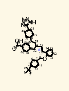 CC(C)(C)c1ccc(COc2ccccc2/C=C/C(CCc2ccc(-c3nnn[nH]3)cc2)Cc2ccc(C(=O)O)cc2)cc1